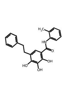 Cc1ccccc1NC(=O)c1cc(CCc2ccccc2)c(O)c(O)c1O